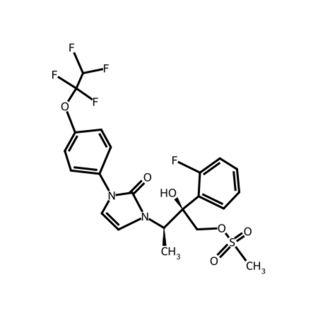 C[C@@H](n1ccn(-c2ccc(OC(F)(F)C(F)F)cc2)c1=O)[C@@](O)(COS(C)(=O)=O)c1ccccc1F